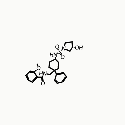 COc1ccccc1C(=O)NCC1(c2ccccc2)CCC(NS(=O)(=O)N2CC[C@H](O)C2)CC1